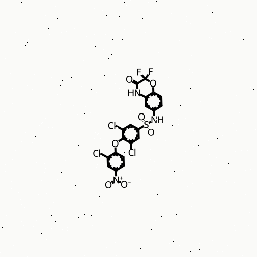 O=C1Nc2cc(NS(=O)(=O)c3cc(Cl)c(Oc4ccc([N+](=O)[O-])cc4Cl)c(Cl)c3)ccc2OC1(F)F